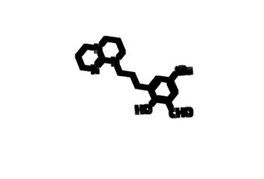 CC(C)(C)c1cc(C=O)c(O)c(CCCN2CCCN3CCCN=C32)c1